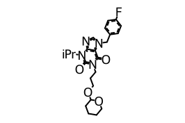 CC(C)n1c(=O)n(CCCOC2CCCCO2)c(=O)c2c1ncn2Cc1ccc(F)cc1